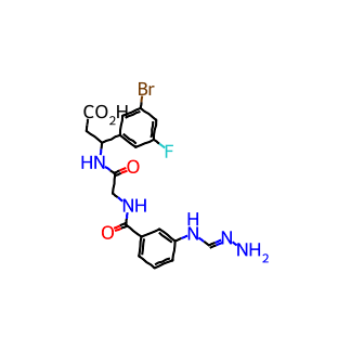 NN=CNc1cccc(C(=O)NCC(=O)NC(CC(=O)O)c2cc(F)cc(Br)c2)c1